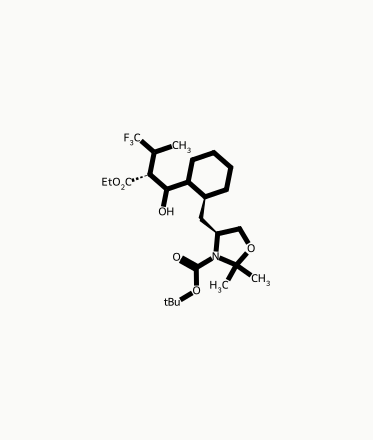 CCOC(=O)[C@@H](C(O)C1CCCC[C@H]1C[C@H]1COC(C)(C)N1C(=O)OC(C)(C)C)C(C)C(F)(F)F